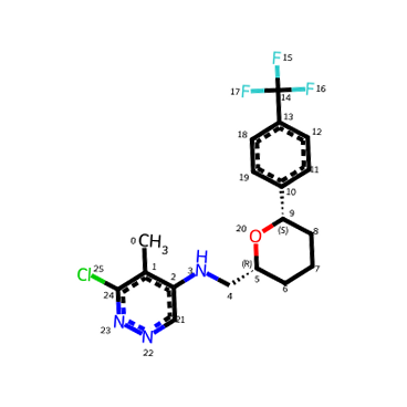 Cc1c(NC[C@H]2CCC[C@@H](c3ccc(C(F)(F)F)cc3)O2)cnnc1Cl